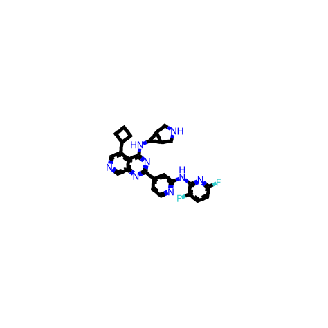 Fc1ccc(F)c(Nc2cc(-c3nc(NC4C5CNCC54)c4c(C5CCC5)cncc4n3)ccn2)n1